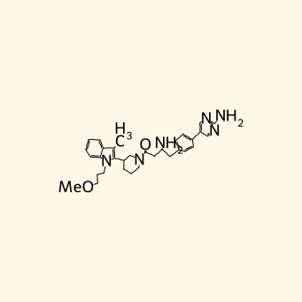 COCCCn1c(C2CCCN(C(=O)C[C@H](N)Cc3ccc(-c4cnc(N)nc4)cc3)C2)c(C)c2ccccc21